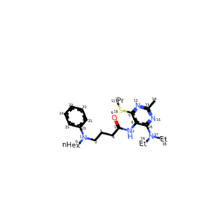 CCCCCCN(CCCC(=O)Nc1c(SC(C)C)nc(C)nc1N(CC)CC)c1ccccc1